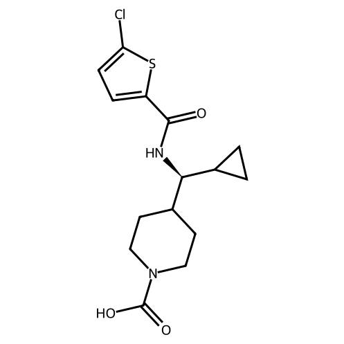 O=C(N[C@@H](C1CC1)C1CCN(C(=O)O)CC1)c1ccc(Cl)s1